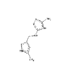 Cc1cc(CNc2nnc(N)[nH]2)c[nH]1